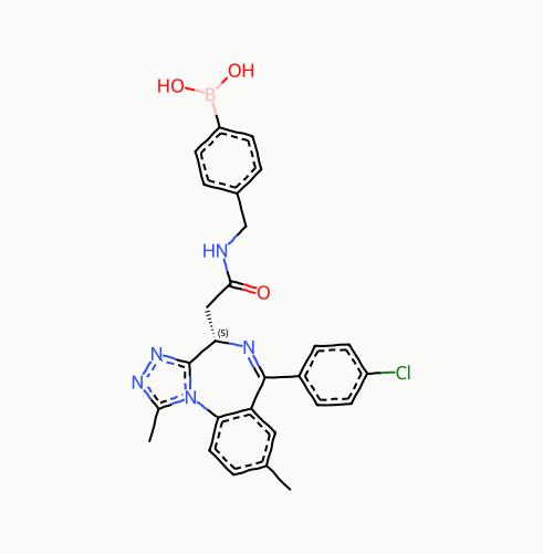 Cc1ccc2c(c1)C(c1ccc(Cl)cc1)=N[C@@H](CC(=O)NCc1ccc(B(O)O)cc1)c1nnc(C)n1-2